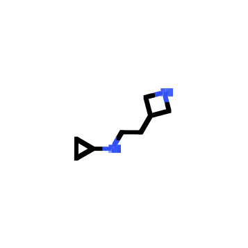 C(CC1CNC1)NC1CC1